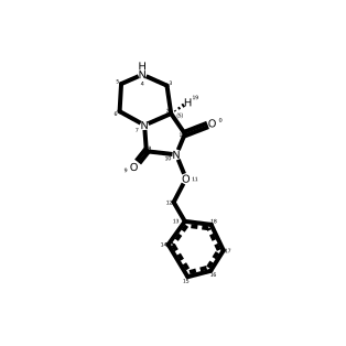 O=C1[C@@H]2CNCCN2C(=O)N1OCc1ccccc1